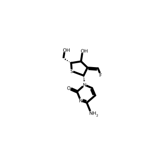 Nc1ccn([C@@H]2S[C@H](CO)C(O)/C2=C/F)c(=O)n1